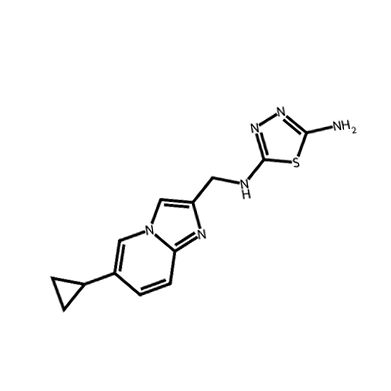 Nc1nnc(NCc2cn3cc(C4CC4)ccc3n2)s1